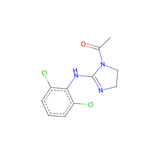 CC(=O)N1CCN=C1Nc1c(Cl)cccc1Cl